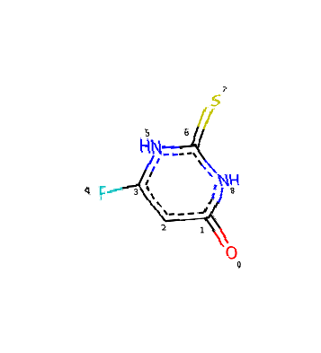 O=c1cc(F)[nH]c(=S)[nH]1